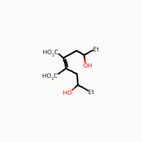 CCC(O)CC(C(=O)O)=C(CC(O)CC)C(=O)O